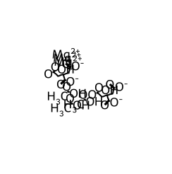 CC(=O)O.CC(=O)O.CC(=O)O.O=C([O-])CC(O)(CC(=O)[O-])C(=O)[O-].O=C([O-])CC(O)(CC(=O)[O-])C(=O)[O-].[Mg+2].[Mg+2].[Mg+2]